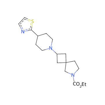 CCOC(=O)N1CCC2(CC(N3CCC(c4nccs4)CC3)C2)C1